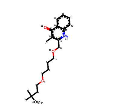 COC(C)(C)CCOCCCCOCc1[nH]c2ccccc2c(=O)c1C